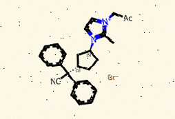 CC(=O)C[n+]1ccn([C@H]2CC[C@H](C(C#N)(c3ccccc3)c3ccccc3)C2)c1C.[Br-]